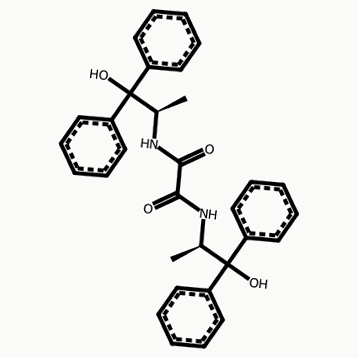 C[C@@H](NC(=O)C(=O)N[C@H](C)C(O)(c1ccccc1)c1ccccc1)C(O)(c1ccccc1)c1ccccc1